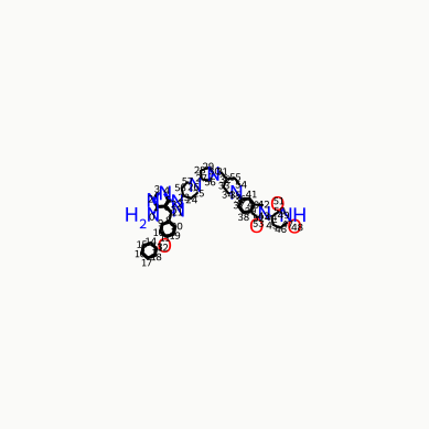 Nc1ncnc2c1c(-c1ccc(Oc3ccccc3)cc1)nn2C1CCN(C2CCN(CC3CCN(c4ccc5c(c4)CN(C4CCC(=O)NC4=O)C5=O)CC3)C2)CC1